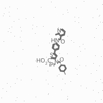 Cc1ncccc1C(=O)Nc1ccc(-c2cc(N(C(=O)[C@H]3CC[C@H](C)CC3)C(C)C)c(C(=O)O)s2)cc1